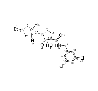 CCN1C[C@@H]2[C@H](C1)[C@@H]2N1CCC(O)(C(=O)NCc2cc(F)cc(Cl)c2)C1=O